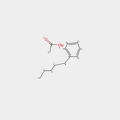 CC(=O)O.CCCCCc1ccccc1